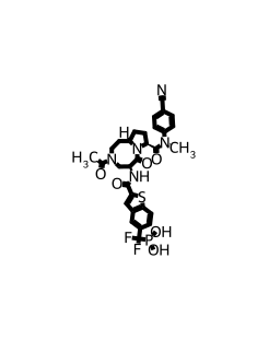 CC(=O)N1CC[C@H]2CC[C@@H](C(=O)N(C)c3ccc(C#N)cc3)N2C(=O)[C@@H](NC(=O)c2cc3cc(C(F)(F)P(O)O)ccc3s2)C1